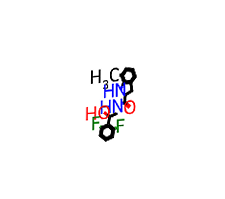 Cc1cccc2c1NC(C(=O)NCC(O)c1c(F)cccc1F)C2